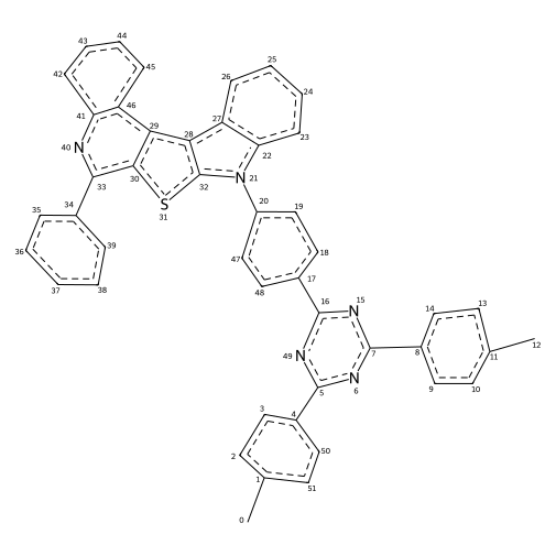 Cc1ccc(-c2nc(-c3ccc(C)cc3)nc(-c3ccc(-n4c5ccccc5c5c6c(sc54)c(-c4ccccc4)nc4ccccc46)cc3)n2)cc1